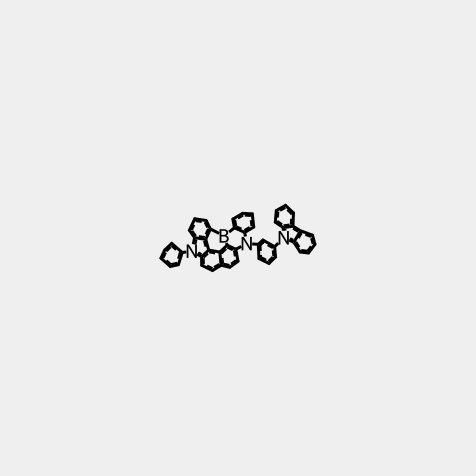 c1ccc(-n2c3cccc4c3c3c5c6c(ccc5ccc32)N(c2cccc(-n3c5ccccc5c5ccccc53)c2)c2ccccc2B64)cc1